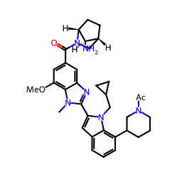 COc1cc(C(=O)N2C[C@H]3CC[C@@H]2[C@@H]3N)cc2nc(-c3cc4cccc(C5CCCN(C(C)=O)C5)c4n3CC3CC3)n(C)c12